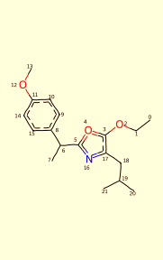 CCOc1oc(C(C)c2ccc(OC)cc2)nc1CC(C)C